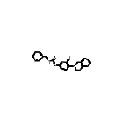 O=C(NCc1ccccc1)Oc1ccc(N2CCc3ccccc3C2)c(F)c1